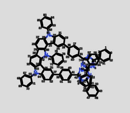 c1ccc(-c2nc(-c3ccccc3)nc(-c3ccc(-c4ccc5c(c4)c4c(ccc6c7ccc8c(c9cc(-c%10ccc(-c%11nc(-c%12ccccc%12)nc(-c%12ccccc%12)n%11)cc%10)ccc9n8-c8ccccc8)c7n(-c7ccccc7)c64)n5-c4ccccc4)cc3)n2)cc1